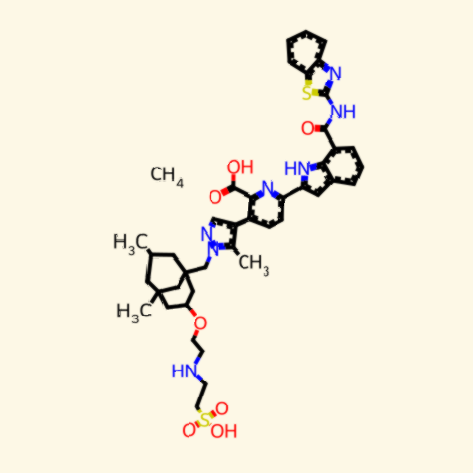 C.Cc1c(-c2ccc(-c3cc4cccc(C(=O)Nc5nc6ccccc6s5)c4[nH]3)nc2C(=O)O)cnn1CC12CC(C)CC(C)(CC(OCCNCCS(=O)(=O)O)C1)C2